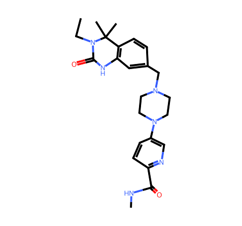 CCN1C(=O)Nc2cc(CN3CCN(c4ccc(C(=O)NC)nc4)CC3)ccc2C1(C)C